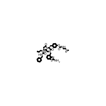 C=CCN(C(=O)NCc1ccccc1)N1CC(=O)N2[C@@H](Cc3ccc(OC(=O)NCCN(C)C)cc3)C(=O)N(Cc3cccc4sc(N)nc34)C[C@@H]21